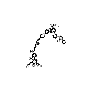 C=C(NC)C(CCC=O)N1C(=O)c2ccc(NCCCCNCC#CC3CCN(c4ccc(Nc5nc(N6CCCC(N7CCN(C8CCCC8)C7=O)C6)cnc5C(N)=O)cc4)CC3)cc2C1=O